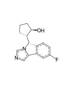 O[C@@H]1CCC[C@H]1[C@@H]1c2ccc(F)cc2-c2cncn21